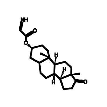 C[C@]12CC[C@H](OC(=O)C=N)CC1CC[C@@H]1[C@@H]2CC[C@]2(C)C(=O)CC[C@@H]12